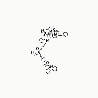 CN(CCN1CCC(OC(=O)Nc2ccccc2-c2ccccc2)CC1)C(=O)CCCCCN(Cc1ccccc1)C[C@H](O[Si](C)(C)C(C)(C)C)c1ccc(OCc2ccccc2)c2[nH]c(=O)ccc12